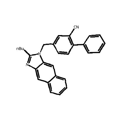 CCCCc1nc2cc3ccccc3cc2n1Cc1ccc(-c2ccccc2)c(C#N)c1